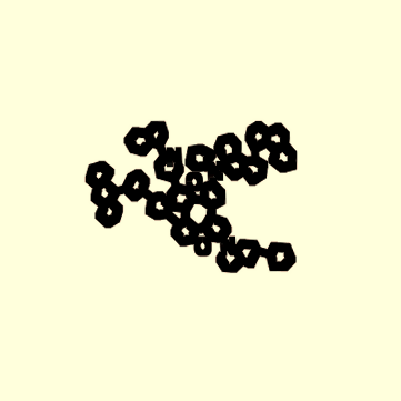 C1=CN(c2ccc3c4ccc(N(c5ccccc5)c5cc6cccc(-c7cccc8ccc9ccccc9c78)c6c6ccccc56)c5oc6c(-c7ccc(-c8cccc9ccccc89)nc7)ccc(c7c(-c8ccc(-c9cccc(-c%10c%11ccccc%11cc%11ccccc%10%11)c9)cc8)ccc8oc2c3c87)c6c54)C2C=CC(c3ccccc3)=CC2=C1